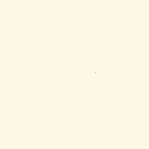 CC(C)(C)[S@@+]([O-])/N=C1\CCc2c(Cl)cccc21